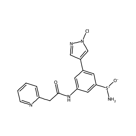 N[S+]([O-])c1cc(NC(=O)Cc2ccccn2)cc(-c2cnn(Cl)c2)c1